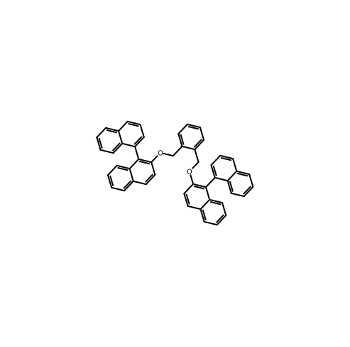 c1ccc(COc2ccc3ccccc3c2-c2cccc3ccccc23)c(COc2ccc3ccccc3c2-c2cccc3ccccc23)c1